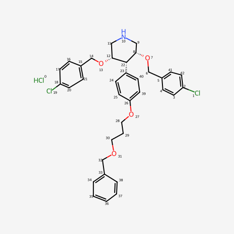 Cl.Clc1ccc(CO[C@H]2CNC[C@@H](OCc3ccc(Cl)cc3)[C@H]2c2ccc(OCCCOCc3ccccc3)cc2)cc1